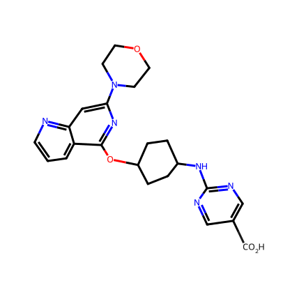 O=C(O)c1cnc(NC2CCC(Oc3nc(N4CCOCC4)cc4ncccc34)CC2)nc1